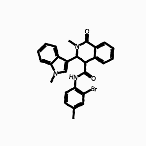 Cc1ccc(NC(=O)C2c3ccccc3C(=O)N(C)C2c2cn(C)c3ccccc23)c(Br)c1